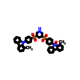 Cc1cccc2c1[N+]([O-])(c1ccc(S(=O)(=O)C3CNCC(S(=O)(=O)c4ccc(-n5c6ccccc6c6cccc(C)c65)cc4)C3)cc1)c1ccccc1-2